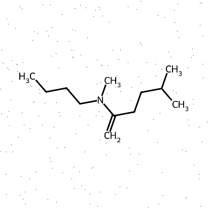 C=C(CCC(C)C)N(C)CCCC